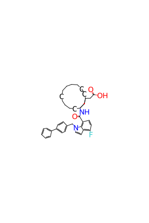 O=C(O)CC12CCCCCCCCCCCC(NC(=O)c3ccc(F)c4ccn(Cc5ccc(-c6ccccc6)cc5)c34)(C1)C2